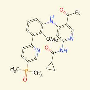 CCC(=O)c1cnc(NC(=O)C2CC2)cc1Nc1cccc(-c2ccc(P(C)(C)=O)cn2)c1OC